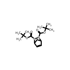 CC(C)(C)OC(=O)N1C2C=CC(C2)N1C(=O)OC(C)(C)C